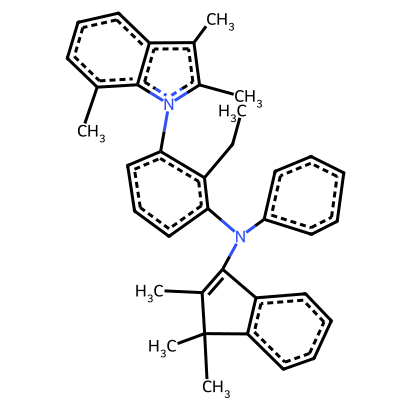 CCc1c(N(C2=C(C)C(C)(C)c3ccccc32)c2ccccc2)cccc1-n1c(C)c(C)c2cccc(C)c21